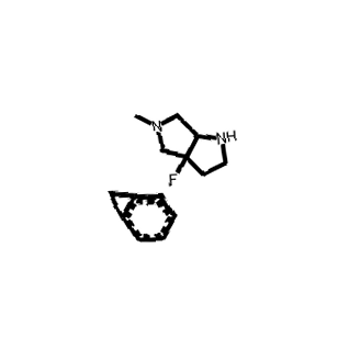 CN1CC2NCCC2(F)C1.c1ccc2c(c1)C2